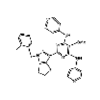 COc1c(Nc2ccncc2)nc(-c2nn(Cc3ccccc3F)c3c2CCC3)nc1Nc1ccncc1